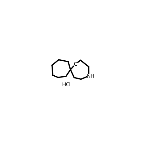 C1CCCC2(CC1)CCCNCC2.Cl